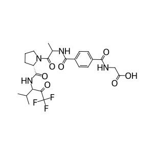 CC(NC(=O)c1ccc(C(=O)NCC(=O)O)cc1)C(=O)N1CCC[C@H]1C(=O)NC(C(=O)C(F)(F)F)C(C)C